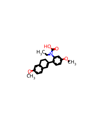 CCN(C(=O)O)c1cc(OC)ccc1C1=Cc2ccc(OC)cc2CC1